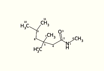 CNC(=O)CC(C)(C)CC(C)C